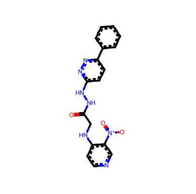 O=C(CNc1ccncc1[N+](=O)[O-])NNc1ccc(-c2ccccc2)nn1